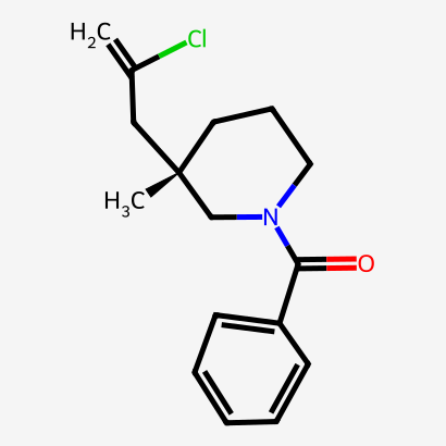 C=C(Cl)C[C@]1(C)CCCN(C(=O)c2ccccc2)C1